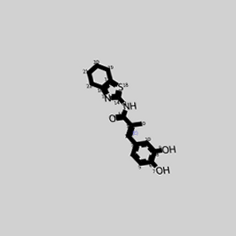 C/C(=C\c1ccc(O)c(O)c1)C(=O)Nc1nc2c(s1)CCCC2